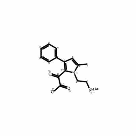 CC(=O)NCCn1c(C)cc(-c2ccccc2)c1C(=O)C(=O)Cl